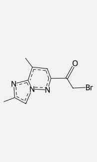 Cc1cn2nc(C(=O)CBr)cc(C)c2n1